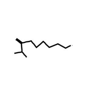 [CH2]CCCCCCC(=C)C(C)C